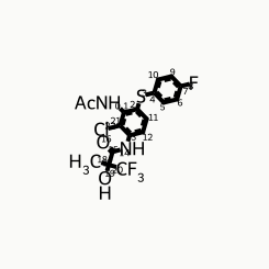 CC(=O)Nc1c(Sc2ccc(F)cc2)ccc(NC(=O)C(C)(O)C(F)(F)F)c1Cl